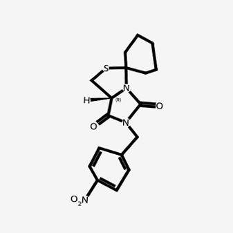 O=C1[C@@H]2CSC3(CCCCC3)N2C(=O)N1Cc1ccc([N+](=O)[O-])cc1